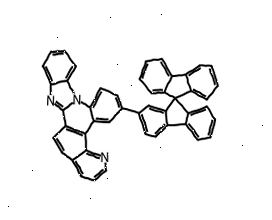 c1ccc2c(c1)-c1ccccc1C21c2ccccc2-c2ccc(-c3ccc4c(c3)c3c(ccc5cccnc53)c3nc5ccccc5n43)cc21